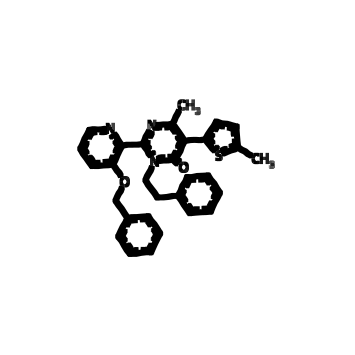 Cc1ccc(-c2c(C)nc(-c3ncccc3OCc3ccccc3)n(CCc3ccccc3)c2=O)s1